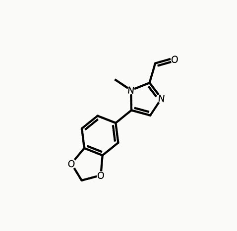 Cn1c(-c2ccc3c(c2)OCO3)cnc1C=O